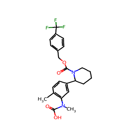 Cc1ccc(C2CCCCN2C(=O)OCc2ccc(C(F)(F)F)cc2)cc1N(C)C(=O)O